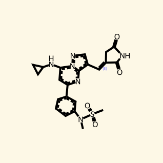 CN(c1cccc(-c2cc(NC3CC3)n3ncc(/C=C4\CC(=O)NC4=O)c3n2)c1)S(C)(=O)=O